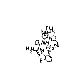 Cn1ncc(NC(=O)c2nc(-c3c(F)cccc3F)sc2N)c1N1CCC(CN)C1